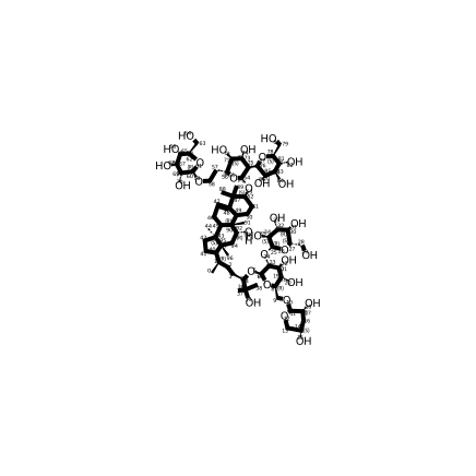 C[C@H](CC[C@@H](O[C@@H]1O[C@H](COC2OC[C@@H](O)C[C@H]2O)[C@@H](O)[C@H](O)[C@H]1O[C@H]1O[C@@H](CO)[C@H](O)[C@@H](O)[C@@H]1O)C(C)(C)O)C1CC[C@@]2(C)C3CC=C4C(CC[C@H](O[C@@H]5O[C@H](CCO[C@@H]6O[C@H](CO)[C@@H](O)[C@H](O)[C@H]6O)[C@@H](O)[C@H](O)[C@H]5C5O[C@@H](CO)[C@H](O)[C@@H](O)[C@@H]5O)C4(C)C)[C@]3(C)[C@H](O)C[C@]12C